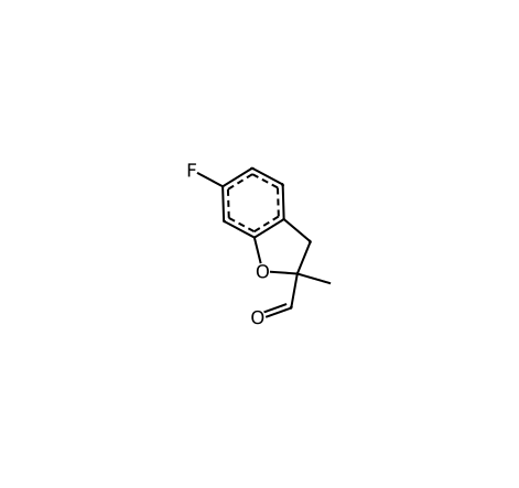 CC1(C=O)Cc2ccc(F)cc2O1